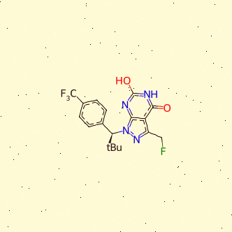 CC(C)(C)[C@@H](c1ccc(C(F)(F)F)cc1)n1nc(CF)c2c(=O)[nH]c(O)nc21